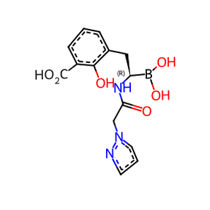 O=C(Cn1cccn1)N[C@@H](Cc1cccc(C(=O)O)c1O)B(O)O